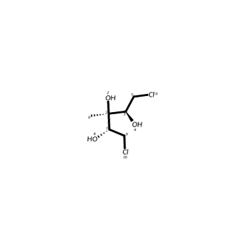 C[C@](O)([C@H](O)CCl)[C@@H](O)CCl